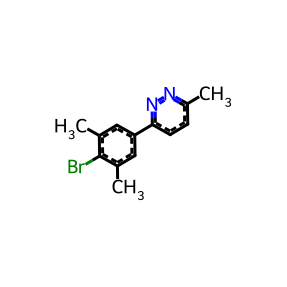 Cc1ccc(-c2cc(C)c(Br)c(C)c2)nn1